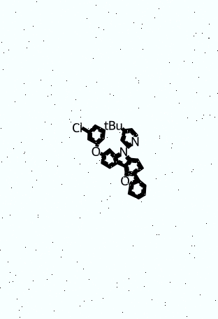 CC(C)(C)c1ccnc(-n2c3cc(Oc4cccc(Cl)c4)ccc3c3c4oc5ccccc5c4ccc32)c1